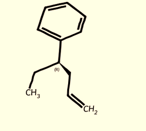 C=CC[C@@H](CC)c1ccccc1